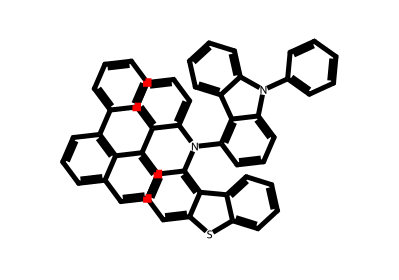 c1ccc(-c2cccc3cccc(-c4ccccc4N(c4cccc5sc6ccccc6c45)c4cccc5c4c4ccccc4n5-c4ccccc4)c23)cc1